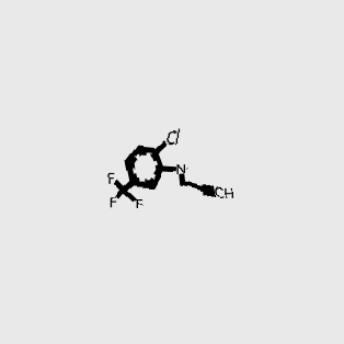 C#CC[N]c1cc(C(F)(F)F)ccc1Cl